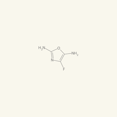 Nc1nc(F)c(N)o1